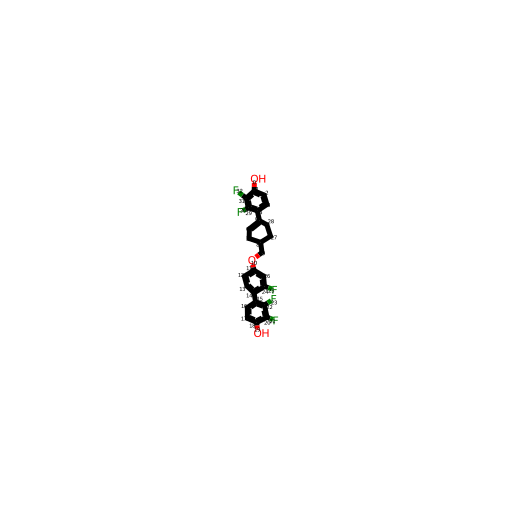 Oc1ccc(C2=CCC(COc3ccc(-c4ccc(O)c(F)c4F)c(F)c3)CC2)c(F)c1F